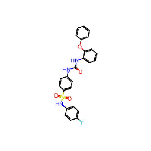 O=C(Nc1ccc(S(=O)(=O)Nc2ccc(F)cc2)cc1)Nc1ccccc1Oc1ccccc1